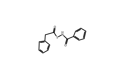 O=C(Cc1ccccc1)SNC(=O)c1ccccc1